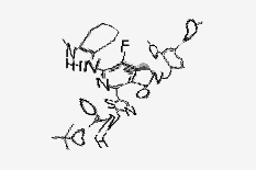 CNC1CCCCC1Nc1nc(-c2cnc(NC(=O)OC(C)(C)C)s2)c2c(c1F)CN(Cc1ccc(OC)cc1OC)C2=O